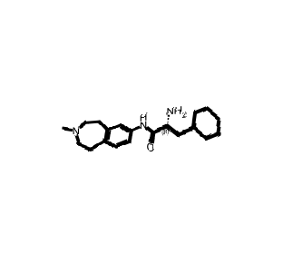 CN1CCc2ccc(NC(=O)[C@H](N)CC3CCCCC3)cc2CC1